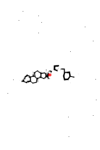 C[C@]12C=CC(=O)C=C1CC[C@@H]1[C@@H]2[C@@H](O)C[C@@]2(C)[C@H]1C[C@H]1O[C@@H](c3ccn(Cc4ccc(N)c(CO)c4)c3)O[C@]12C(=O)CO